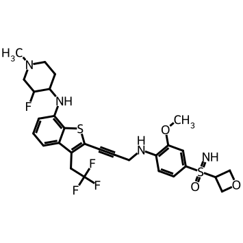 COc1cc(S(=N)(=O)C2COC2)ccc1NCC#Cc1sc2c(NC3CCN(C)CC3F)cccc2c1CC(F)(F)F